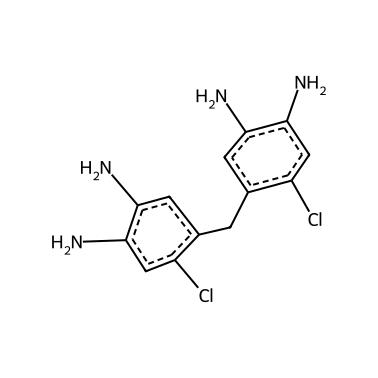 Nc1cc(Cl)c(Cc2cc(N)c(N)cc2Cl)cc1N